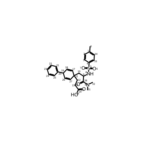 Cc1ccc(S(=O)(=O)NC(CC2(CCC(=O)O)C=CC(c3ccccc3)C=C2)C(=O)N(C)C)cc1